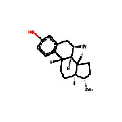 CCC[C@@H]1Cc2cc(O)ccc2[C@H]2CC[C@]3(C)[C@@H](OC(C)=O)CC[C@H]3[C@H]12